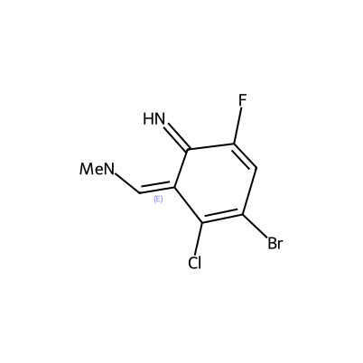 CN/C=C1\C(=N)C(F)=CC(Br)=C1Cl